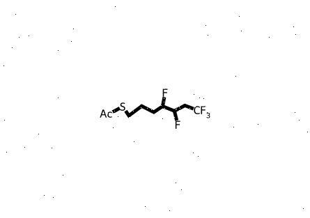 CC(=O)SCCCC(F)C(F)CC(F)(F)F